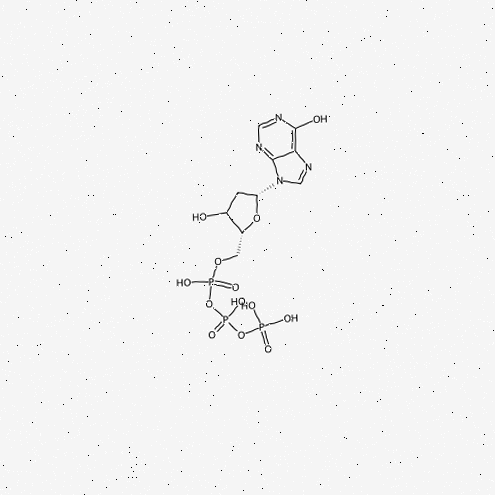 O=P(O)(O)OP(=O)(O)OP(=O)(O)OC[C@H]1O[C@@H](n2cnc3c(O)ncnc32)CC1O